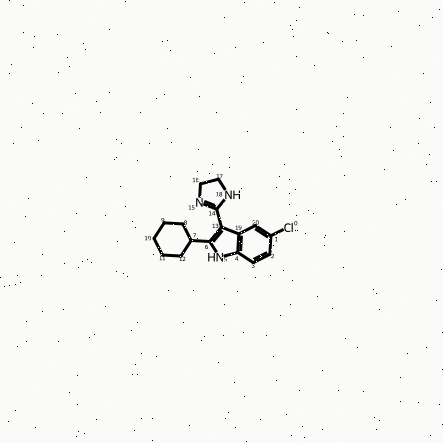 Clc1ccc2[nH]c(C3CCCCC3)c(C3=NCCN3)c2c1